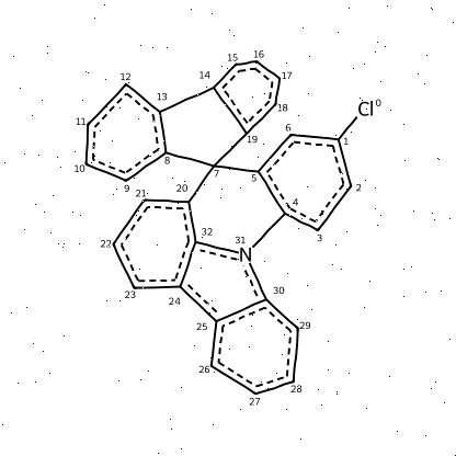 Clc1ccc2c(c1)C1(c3ccccc3-c3ccccc31)c1cccc3c4ccccc4n-2c13